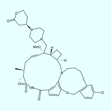 CO[C@@]1(CN2CCN([C@@H]3CCOC(=O)C3)CC2)/C=C/C[C@H](C)[C@@H](C)S(=O)(=O)NC(=O)c2ccc3c(c2)N(CCCCc2cc(Cl)ccc2CO3)C[C@@H]2CC[C@H]21